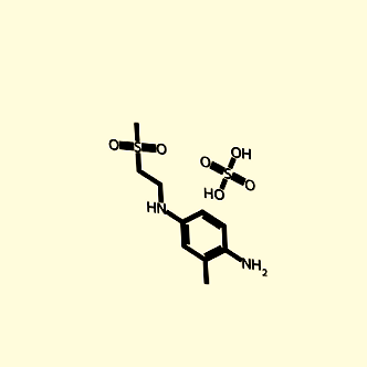 Cc1cc(NCCS(C)(=O)=O)ccc1N.O=S(=O)(O)O